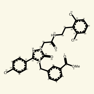 COC(=O)c1cccc(Cn2c(-c3ccc(Cl)cc3)nn(CC(=O)NCCc3c(Cl)cccc3Cl)c2=O)c1